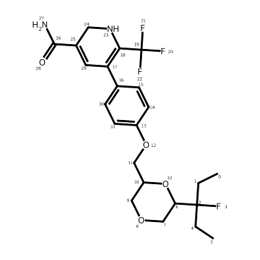 CCC(F)(CC)C1COCC(COc2ccc(C3=C(C(F)(F)F)NCC(C(N)=O)=C3)cc2)O1